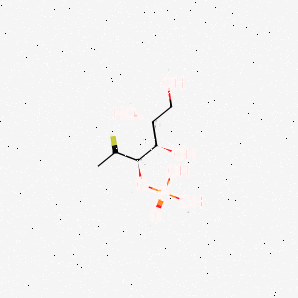 CC(=S)[C@H](OP(=O)(O)O)[C@H](O)[C@H](O)CO